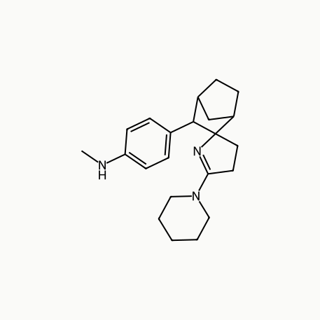 CNc1ccc(C2C3CCC(C3)C23CCC(N2CCCCC2)=N3)cc1